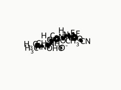 Cc1cc(NC(=O)c2ncc(-c3ccc(OCC#N)c(F)c3F)n2C)ccc1C(=O)NC1CC(NCC[N+](C)(C)C)C1.O=C[O-]